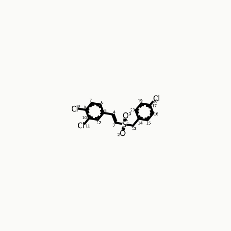 O=S(=O)(C=Cc1ccc(Cl)c(Cl)c1)Cc1ccc(Cl)cc1